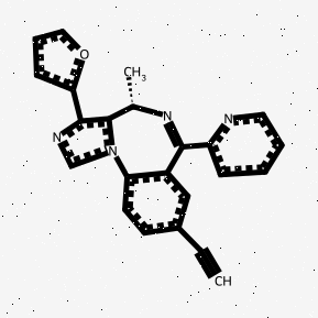 C#Cc1ccc2c(c1)C(c1ccccn1)=N[C@@H](C)c1c(-c3ccco3)ncn1-2